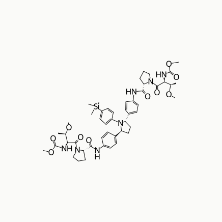 COC(=O)N[C@H](C(=O)N1CCC[C@H]1C(=O)Nc1ccc([C@@H]2CC[C@@H](c3ccc(NC(=O)[C@@H]4CCCN4C(=O)[C@@H](NC(=O)OC)[C@@H](C)OC)cc3)N2c2ccc([Si](C)(C)C)cc2)cc1)[C@@H](C)OC